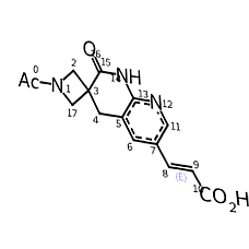 CC(=O)N1CC2(Cc3cc(/C=C/C(=O)O)cnc3NC2=O)C1